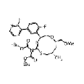 COC[C@H]1C[C@H](C)CS/C(N(C(=O)OC(C)(C)C)C(=O)OC(C)(C)C)=N\[C@@H](c2cc(-c3cccnc3F)ccc2F)CO1